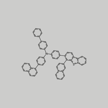 c1ccc(-c2ccc(N(c3ccc(-c4ccc5c(sc6ccccc65)c4-c4ccc5ccccc5c4)cc3)c3ccc(-c4cccc5ccccc45)cc3)cc2)cc1